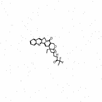 CC[C@]1(CC(=O)CNC(=O)C(F)(F)F)C(=O)OCc2c1cc1n(c2=O)Cc2cc3ccccc3nc2-1